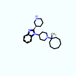 CC1(N2CCC(n3c([C@@H]4CCCNC4)nc4ccccc43)CC2)CCCCCCC1